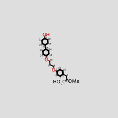 COC(Cc1ccc(OCCCOc2ccc(-c3ccc(O)cc3)cc2)cc1)C(=O)O